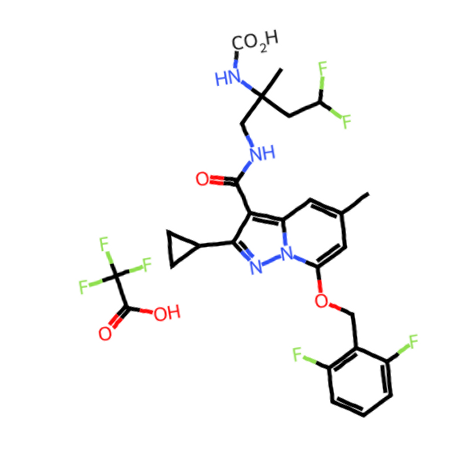 Cc1cc(OCc2c(F)cccc2F)n2nc(C3CC3)c(C(=O)NCC(C)(CC(F)F)NC(=O)O)c2c1.O=C(O)C(F)(F)F